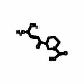 CN(C)C=CC(=O)C1CCCN(C(=O)O)C1